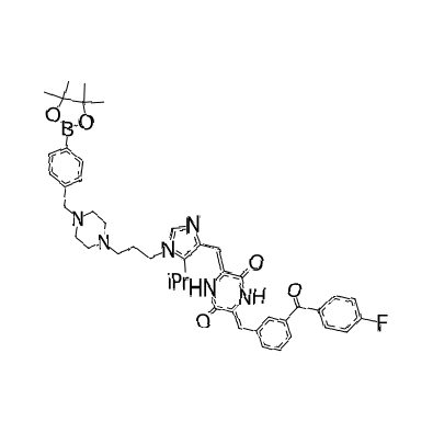 CC(C)c1c(/C=c2\[nH]c(=O)/c(=C/c3cccc(C(=O)c4ccc(F)cc4)c3)[nH]c2=O)ncn1CCCN1CCN(Cc2ccc(B3OC(C)(C)C(C)(C)O3)cc2)CC1